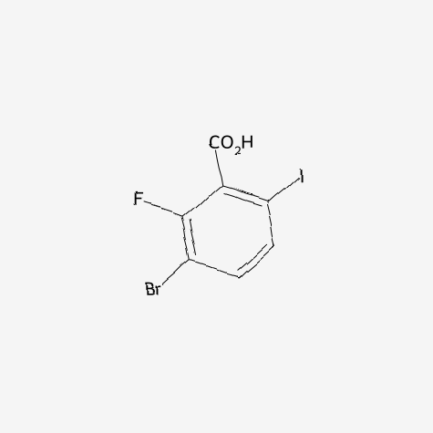 O=C(O)c1c(I)ccc(Br)c1F